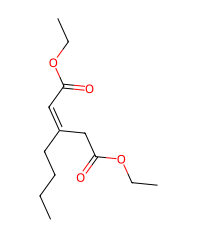 CCCC/C(=C/C(=O)OCC)CC(=O)OCC